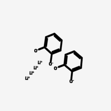 [Li+].[Li+].[Li+].[Li+].[O-]c1ccccc1[O-].[O-]c1ccccc1[O-]